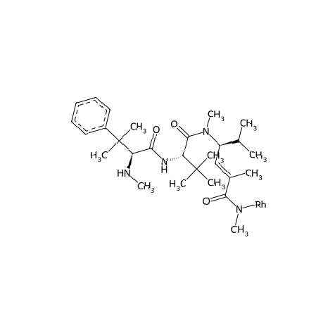 CN[C@H](C(=O)N[C@H](C(=O)N(C)[C@H](/C=C(\C)C(=O)[N](C)[Rh])C(C)C)C(C)(C)C)C(C)(C)c1ccccc1